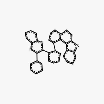 c1ccc(-c2nc3ccccc3nc2-c2ccccc2-c2cccc3ccc4sc5ccccc5c4c23)cc1